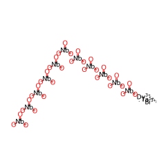 [Bi+3].[Dy+3].[O]=[Nb](=[O])[O-].[O]=[Nb](=[O])[O-].[O]=[Nb](=[O])[O-].[O]=[Nb](=[O])[O-].[O]=[Nb](=[O])[O-].[O]=[Nb](=[O])[O-].[O]=[Nb](=[O])[O-].[O]=[Nb](=[O])[O-].[O]=[Nb](=[O])[O-].[O]=[Nb](=[O])[O-].[O]=[Nb](=[O])[O-].[Ta+5]